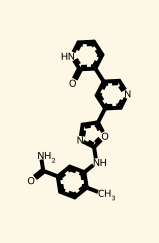 Cc1ccc(C(N)=O)cc1Nc1ncc(-c2cncc(-c3ccc[nH]c3=O)c2)o1